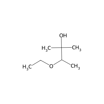 CCOC(C)C(C)(C)O